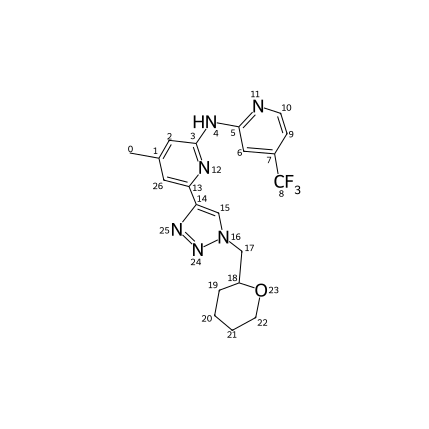 Cc1cc(Nc2cc(C(F)(F)F)ccn2)nc(-c2cn(CC3CCCCO3)nn2)c1